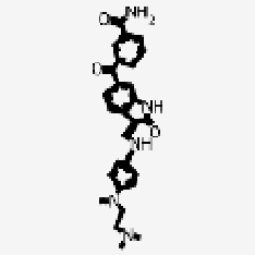 CN(C)CCN(C)c1ccc(NC=C2C(=O)Nc3cc(C(=O)c4cccc(C(N)=O)c4)ccc32)cc1